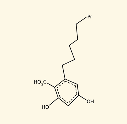 CC(C)CCCCCc1cc(O)cc(O)c1C(=O)O